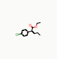 [CH2]C/C=C(\C(=O)OCC)c1ccc(Cl)cc1